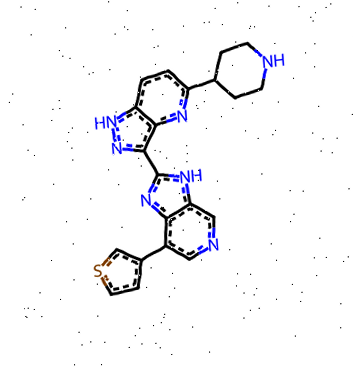 c1cc(-c2cncc3[nH]c(-c4n[nH]c5ccc(C6CCNCC6)nc45)nc23)cs1